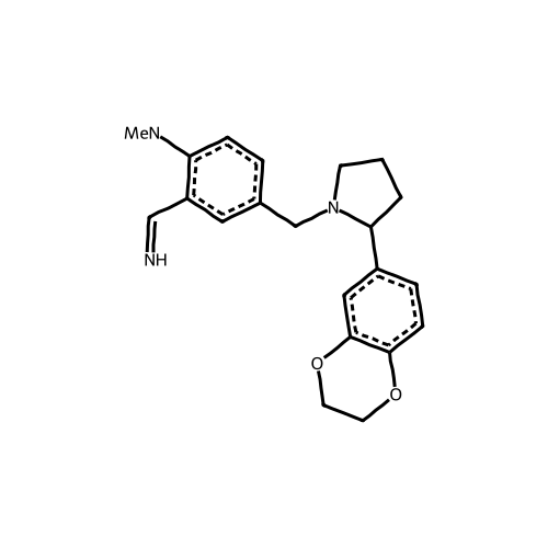 CNc1ccc(CN2CCCC2c2ccc3c(c2)OCCO3)cc1C=N